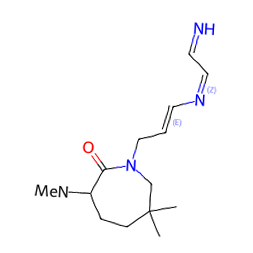 CNC1CCC(C)(C)CN(C/C=C/N=C\C=N)C1=O